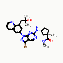 CNC(=O)[C@]1(C)CC[C@@H](Nc2ncc3c(Br)nn(-c4cc(CC(C)(C)O)c5ncccc5c4)c3n2)C1